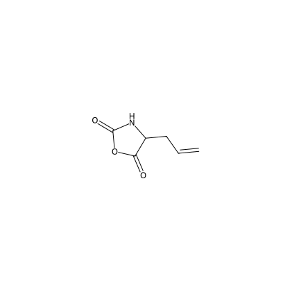 C=CCC1NC(=O)OC1=O